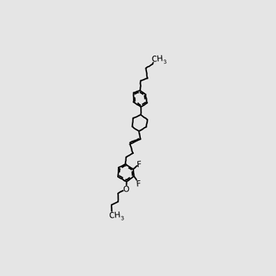 CCCCCc1ccc(C2CCC(/C=C/CCc3ccc(OCCCC)c(F)c3F)CC2)cc1